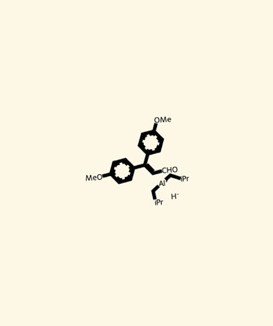 CC(C)[CH2][Al+][CH2]C(C)C.COc1ccc(C(=CC=O)c2ccc(OC)cc2)cc1.[H-]